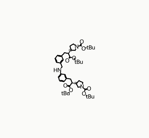 CC(C)(C)OC(=O)C(Cc1cccc(CNc2cccc(CC(C(=O)OC(C)(C)C)[C@H]3CCN(C(=O)OC(C)(C)C)C3)c2)c1)[C@H]1CCN(C(=O)OC(C)(C)C)C1